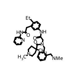 CCc1ccc(NC(=O)CN(Cc2ccccc2CNC)C(=O)C2(C)CCN(C)CC2)cc1CC(=O)Nc1ccccn1